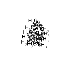 CO[Si](CC[Si](C)(C)O[Si](O[SiH](C)C)(O[SiH](C)C)O[SiH](C)C)(OC)OC